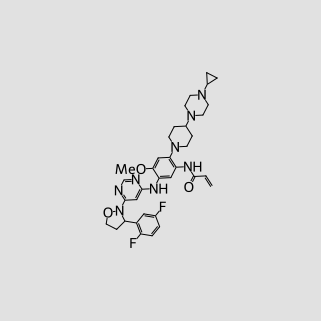 C=CC(=O)Nc1cc(Nc2cc(N3OCCC3c3cc(F)ccc3F)ncn2)c(OC)cc1N1CCC(N2CCN(C3CC3)CC2)CC1